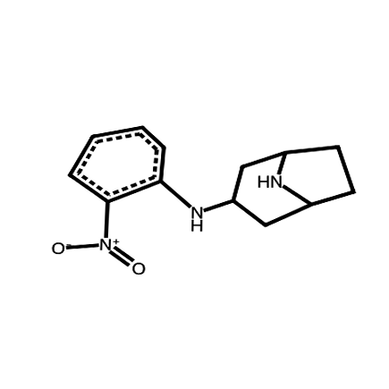 O=[N+]([O-])c1ccccc1NC1CC2CCC(C1)N2